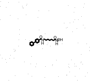 O=C(CCCCCCNC(=O)c1ccc(-c2ccccc2)cc1)NO